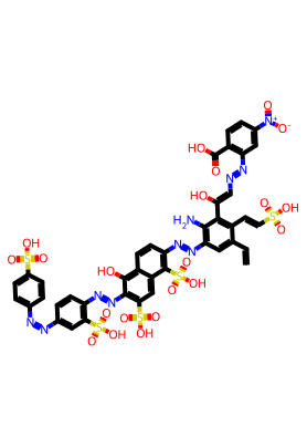 C=Cc1cc(N=Nc2ccc3c(O)c(N=Nc4ccc(/N=N\c5ccc(S(=O)(=O)O)cc5)cc4S(=O)(=O)O)c(S(=O)(=O)O)cc3c2S(=O)(=O)O)c(N)c(/C(O)=C/N=Nc2cc([N+](=O)[O-])ccc2C(=O)O)c1/C=C/S(=O)(=O)O